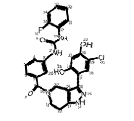 O=C(Nc1cccc(C(=O)N2CCc3[nH]nc(-c4cc(Cl)c(O)cc4O)c3C2)c1)Nc1ccccc1F